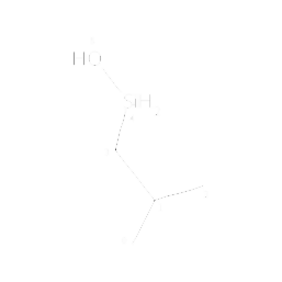 CC(C)C[SiH2]O